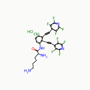 Cl.Cl.NCCCCC(N)C(=O)Nc1cccc(C#Cc2c(F)c(F)nc(F)c2F)c1C#Cc1c(F)c(F)nc(F)c1F